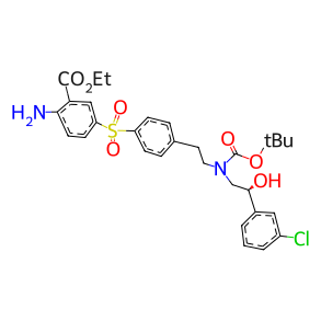 CCOC(=O)c1cc(S(=O)(=O)c2ccc(CCN(C[C@@H](O)c3cccc(Cl)c3)C(=O)OC(C)(C)C)cc2)ccc1N